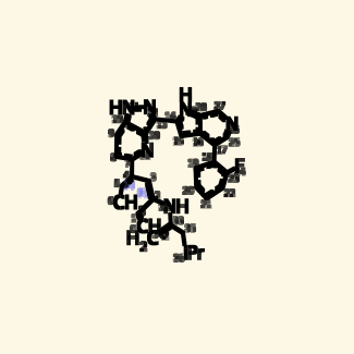 C=C/C(=C\C(=C/C)c1ccc2[nH]nc(-c3cc4c(-c5ccccc5F)cncc4[nH]3)c2n1)NC(=C)CC(C)C